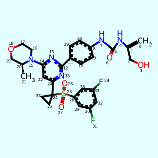 C=C(CO)NC(=O)Nc1ccc(-c2nc(N3CCOC[C@@H]3C)cc(C3(S(=O)(=O)c4cc(F)cc(F)c4)CC3)n2)cc1